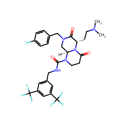 CN(C)CC[C@H]1C(=O)N(Cc2ccc(F)cc2)C[C@@H]2N(C(=O)NCc3cc(C(F)(F)F)cc(C(F)(F)F)c3)CCC(=O)N21